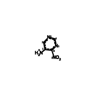 Nc1cncnc1[N+](=O)[O-]